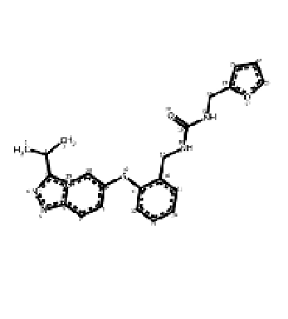 CC(C)c1nnc2ccc(Sc3ccccc3CNC(=O)NCc3ccco3)cn12